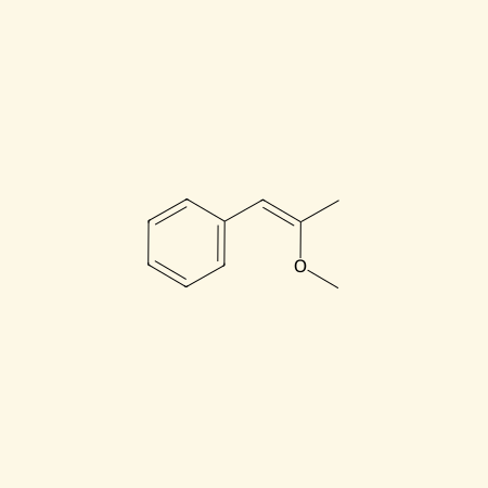 COC(C)=Cc1ccccc1